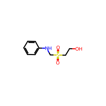 O=S(=O)(CCO)CNc1ccccc1